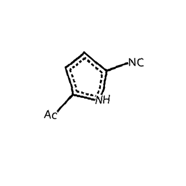 [C-]#[N+]c1ccc(C(C)=O)[nH]1